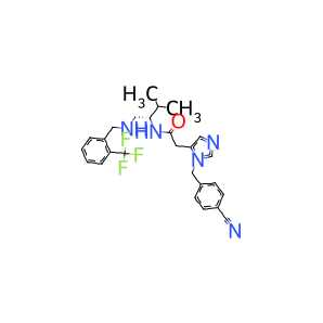 CC(C)[C@@H](CNCc1ccccc1C(F)(F)F)NC(=O)Cc1cncn1Cc1ccc(C#N)cc1